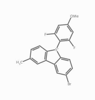 COc1cc(F)c(-[s+]2c3ccc(C)cc3c3cc(Br)ccc32)c(F)c1